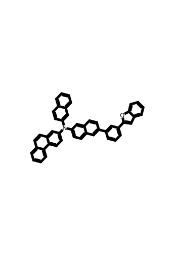 c1cc(-c2ccc3cc(N(c4ccc5ccccc5c4)c4ccc5c(ccc6ccccc65)c4)ccc3c2)cc(-c2cc3ccccc3o2)c1